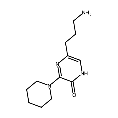 NCCCc1c[nH]c(=O)c(N2CCCCC2)n1